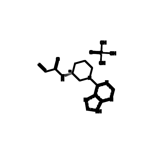 C=CC(=O)N[C@@H]1CCCN(c2ncnc3[nH]cnc23)C1.O=P(O)(O)O